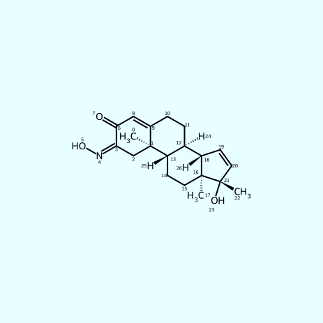 C[C@]12C/C(=N/O)C(=O)C=C1CC[C@@H]1[C@@H]2CC[C@@]2(C)[C@H]1C=C[C@]2(C)O